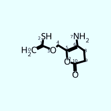 C=C(S)OCC1=C(N)CCC(=O)O1